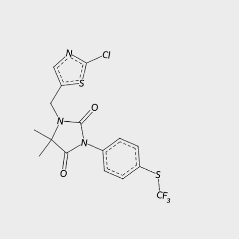 CC1(C)C(=O)N(c2ccc(SC(F)(F)F)cc2)C(=O)N1Cc1cnc(Cl)s1